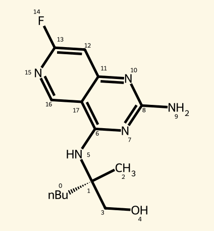 CCCC[C@](C)(CO)Nc1nc(N)nc2cc(F)ncc12